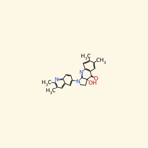 Cc1cc2c(cc1C)C(=O)C1(O)CCN(c3ccc4nc(C)c(C)cc4c3)C1=N2